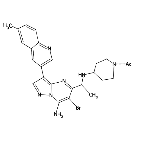 CC(=O)N1CCC(NC(C)c2nc3c(-c4cnc5ccc(C)cc5c4)cnn3c(N)c2Br)CC1